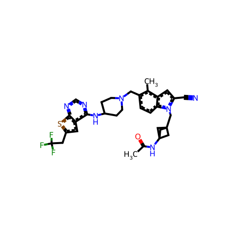 CC(=O)NC12CC(Cn3c(C#N)cc4c(C)c(CN5CCC(Nc6ncnc7sc(CC(F)(F)F)cc67)CC5)ccc43)(C1)C2